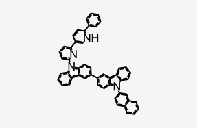 C1=CC(c2ccccc2)NC=C1c1cccc(-n2c3ccccc3c3cc(-c4ccc5c(c4)c4ccccc4n5-c4ccc5ccccc5c4)ccc32)n1